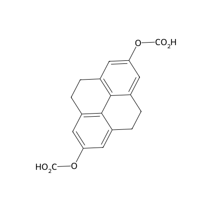 O=C(O)Oc1cc2c3c(c1)CCc1cc(OC(=O)O)cc(c1-3)CC2